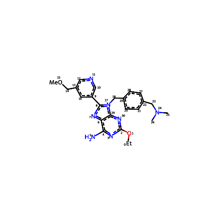 CCOc1nc(N)c2nc(-c3cncc(COC)c3)n(Cc3ccc(CN(C)C)cc3)c2n1